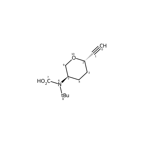 C#C[C@@H]1CC[C@@H](N(C(=O)O)C(C)(C)C)CO1